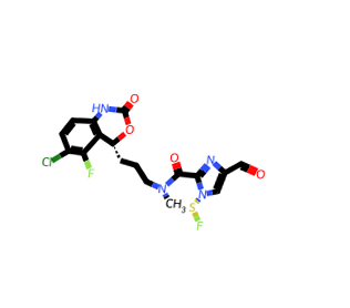 CN(CCC[C@H]1OC(=O)Nc2ccc(Cl)c(F)c21)C(=O)c1nc(C=O)cn1SF